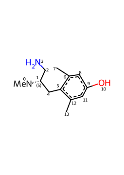 CN[C@H](CN)Cc1c(C)cc(O)cc1C